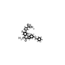 CN(C(=O)c1cc2cc(OCc3ccccc3)ccc2[nH]1)c1ccc(N2CCC(N(C)C)C2)c(F)c1